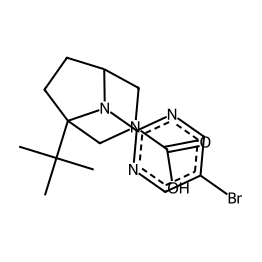 CC(C)(C)C12CCC(CN(C(=O)O)C1)N2c1ncc(Br)cn1